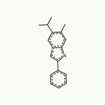 Cc1cc2nc(-c3ccccc3)cn2cc1C(C)C